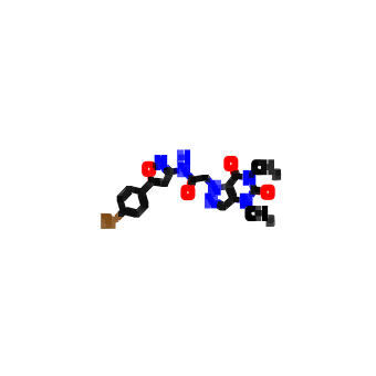 Cn1c(=O)c2c(cnn2CC(=O)Nc2cc(-c3ccc(Br)cc3)on2)n(C)c1=O